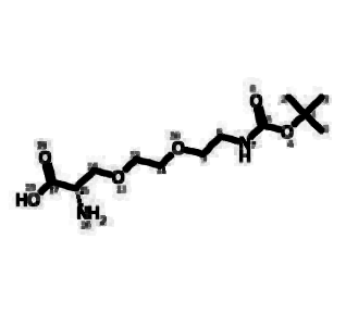 CC(C)(C)OC(=O)NCCOCCOC[C@H](N)C(=O)O